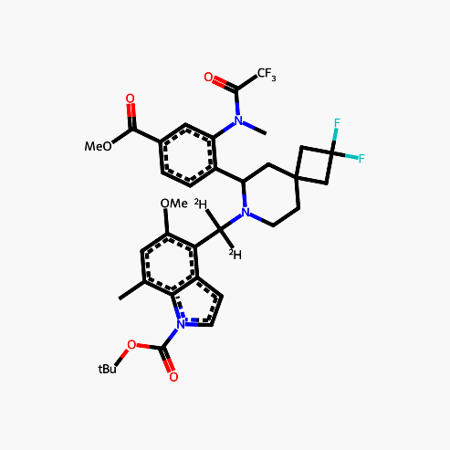 [2H]C([2H])(c1c(OC)cc(C)c2c1ccn2C(=O)OC(C)(C)C)N1CCC2(CC1c1ccc(C(=O)OC)cc1N(C)C(=O)C(F)(F)F)CC(F)(F)C2